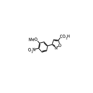 COc1cc(-c2cc(C(=O)O)on2)ccc1[N+](=O)[O-]